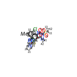 COc1cc(C(=O)NS(=O)(=O)C2(C)CC2)cc2sc(N3C4CCC3CC(NCc3c(-c5c(Cl)cccc5Cl)noc3C3CC3)C4)nc12